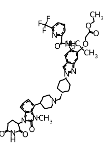 CCOC(=O)COC(C)(C)c1cc2nn([C@H]3CC[C@H](CN4CCC(c5cccc6c5n(C)c(=O)n6C5CCC(=O)NC5=O)CC4)CC3)cc2cc1NC(=O)c1cccc(C(F)(F)F)n1